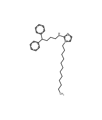 CCCCCCCCCCCCn1ccnc1BCCCC(c1ccccc1)c1ccccc1